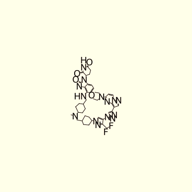 CN(CC1CCC(n2cc(-n3cc(-c4cnn5ccc(N6CCOCC6)nc45)nn3)c(C(F)F)n2)CC1)C1CCC(CNc2cccc3c2n(C)c(=O)n3C2CCC(=O)NC2=O)CC1